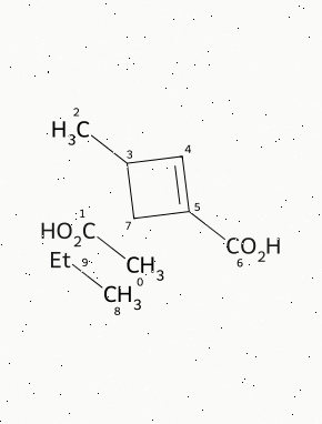 CC(=O)O.CC1C=C(C(=O)O)C1.CCC